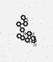 c1ccc(-c2cccc3sc4ccccc4c23)c(-c2ccc(N(c3cccc4c3-c3ccccc3C43[C@H]4CC5C[C@H](C4)C[C@@H]3C5)c3cccc4ccccc34)cc2)c1